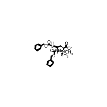 C[N+](C)(C)[C@@H](C/C(=C/NC(=O)OCc1ccccc1)NC(=O)OCc1ccccc1)C(=O)[O-]